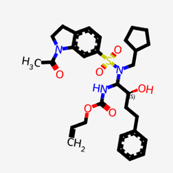 C=CCOC(=O)NC([C@@H](O)CCc1ccccc1)N(CC1CCCC1)S(=O)(=O)c1ccc2c(c1)N(C(C)=O)CC2